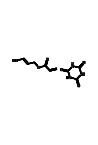 C=CC(=O)OCC=CO.O=c1[nH]c(=O)[nH]c(=O)[nH]1